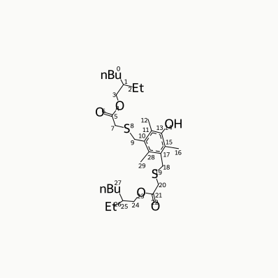 CCCCC(CC)COC(=O)CSCc1c(C)c(O)c(C)c(CSCC(=O)OCC(CC)CCCC)c1C